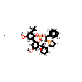 COc1cc(C(C)(C)C)c2op(OC(CP3[C@@H](c4ccccc4)CC[C@@H]3c3ccccc3)c3ccccc3)oc3c(C(C)(C)C)cc(OC)cc3c2c1